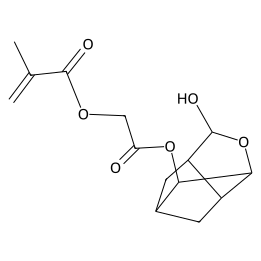 C=C(C)C(=O)OCC(=O)OC1C2CC3C(O)OC1C3C2